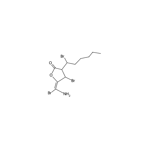 CCCCCC(Br)C1C(=O)O/C(=C(/N)Br)C1Br